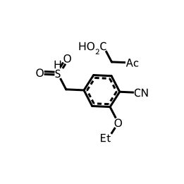 CC(=O)CC(=O)O.CCOc1cc(C[SH](=O)=O)ccc1C#N